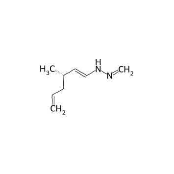 C=CC[C@H](C)/C=C/NN=C